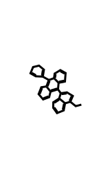 CCc1ccc(-c2c3ccccc3c(C3=CCCC=C3)c3ccccc23)c2ccccc12